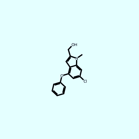 Cn1c(CO)cc2c(Oc3ccccc3)cc(Cl)cc21